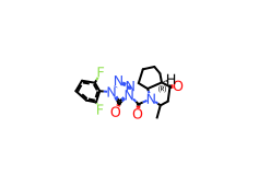 CC1CC(=O)[C@@H]2CCCCC2N1C(=O)n1nnn(-c2c(F)cccc2F)c1=O